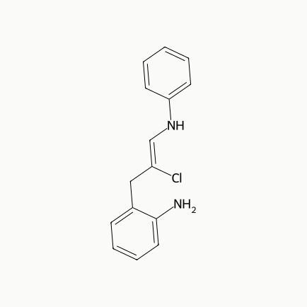 Nc1ccccc1CC(Cl)=CNc1ccccc1